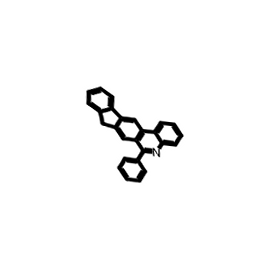 c1ccc(-c2nc3ccccc3c3cc4c(cc23)Cc2ccccc2-4)cc1